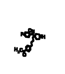 CC(=O)c1ccc(CCCCC2(c3noc4cc(F)ccc34)CCNCC2)cc1